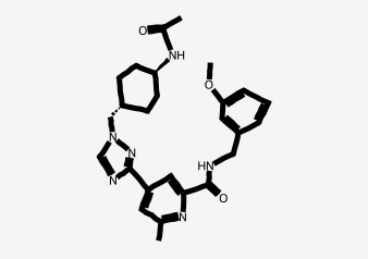 COc1cccc(CNC(=O)c2cc(-c3ncn(C[C@H]4CC[C@H](NC(C)=O)CC4)n3)cc(C)n2)c1